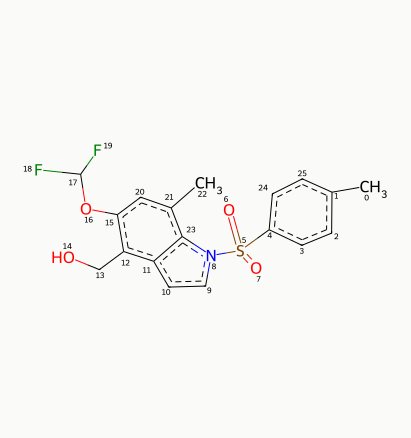 Cc1ccc(S(=O)(=O)n2ccc3c(CO)c(OC(F)F)cc(C)c32)cc1